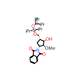 CO[C@@H]1[C@H](O)[C@@H](CO[Si](O[SiH](C(C)C)C(C)C)(C(C)C)C(C)C)C[C@H]1N1C(=O)c2ccccc2C1=O